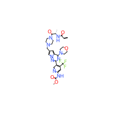 C=CC(=O)N[C@@H](C)C(=O)N1CCN(Cc2cc3c(N4CCOCC4)nc(-c4cnc(NC(=O)OC)cc4C(F)(F)F)nn3c2)CC1